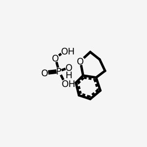 O=P(O)(O)OO.c1ccc2c(c1)CCCO2